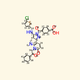 CN(C)c1c(-c2cc(NCc3ccc(Cl)s3)n(C(=O)c3ccc(C(=O)O)cc3)n2)ccc(=O)n1CC(=O)c1ccccc1